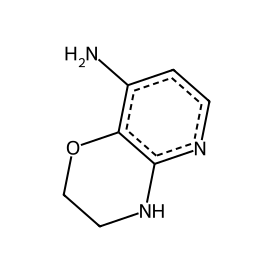 Nc1ccnc2c1OCCN2